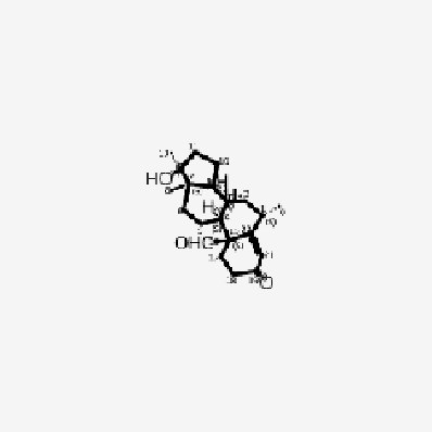 C[C@H]1C[C@@H]2[C@H](CC[C@@]3(C)[C@H]2CC[C@]3(C)O)[C@@]2(C=O)CCC(=O)C=C12